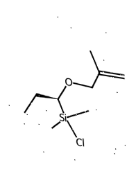 C=C(C)CO[C@H](CC)[Si](C)(C)Cl